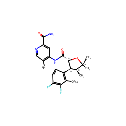 [2H]c1cnc(C(N)=O)cc1NC(=O)[C@@H]1O[C@@](C)(C(F)(F)F)[C@@H](C)[C@H]1c1ccc(F)c(F)c1OC